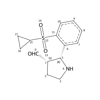 O=C[C@H]1CCN[C@H]1c1ccccc1S(=O)(=O)C1CC1